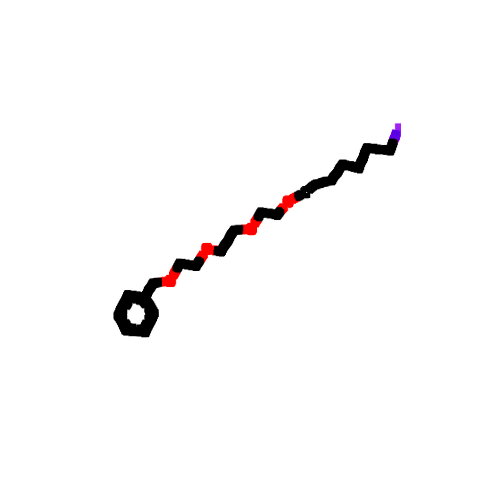 ICCCCCCCOCCOCCOCCOCc1ccccc1